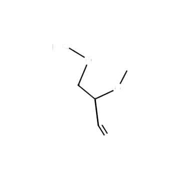 C=CC(CO[SiH3])OC